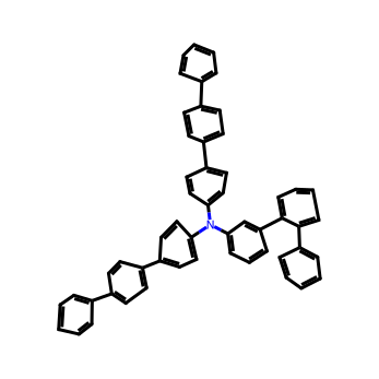 c1ccc(-c2ccc(-c3ccc(N(c4ccc(-c5ccc(-c6ccccc6)cc5)cc4)c4cccc(-c5ccccc5-c5ccccc5)c4)cc3)cc2)cc1